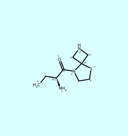 CC[C@H](N)C(=O)N1CCSC12CNC2